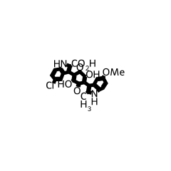 COc1ccc2[nH]c(C)c(C3=C(O)C(=O)C(c4c(C(=O)O)[nH]c5ccc(Cl)cc45)=C(O)C3=O)c2c1